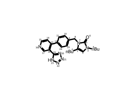 CCCCc1cn(CCCC)c(=O)n1Cc1ccc(-c2ccncc2-c2nnn[nH]2)cc1